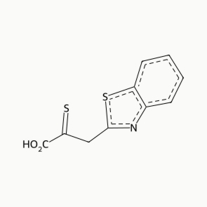 O=C(O)C(=S)Cc1nc2ccccc2s1